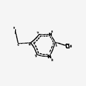 Clc1ncc(CI)cn1